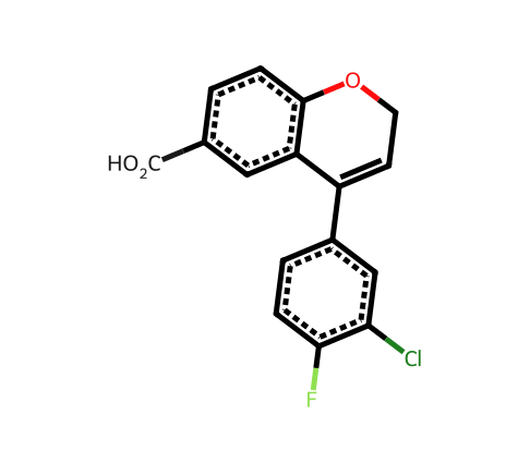 O=C(O)c1ccc2c(c1)C(c1ccc(F)c(Cl)c1)=CCO2